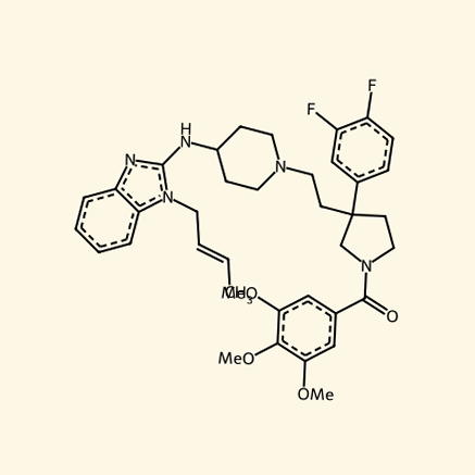 CC=CCn1c(NC2CCN(CCC3(c4ccc(F)c(F)c4)CCN(C(=O)c4cc(OC)c(OC)c(OC)c4)C3)CC2)nc2ccccc21